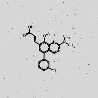 COc1c(C=CC(=O)O)cc(-c2cccc(Cl)c2)c2cnc(N(C)C)nc12